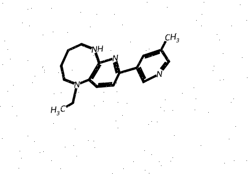 CCN1CCCCNc2nc(-c3cncc(C)c3)ccc21